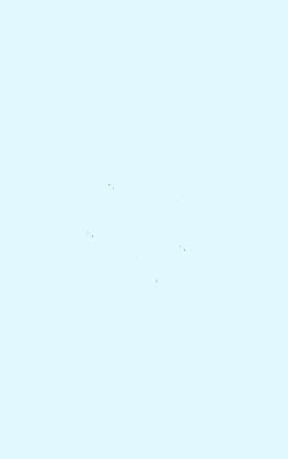 N.Nc1cnc2ccc(Br)cc2c1-c1ccccc1F